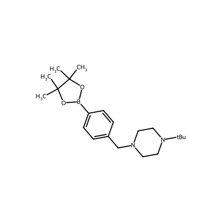 CC(C)(C)N1CCN(Cc2ccc(B3OC(C)(C)C(C)(C)O3)cc2)CC1